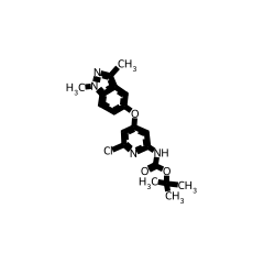 Cc1nn(C)c2ccc(Oc3cc(Cl)nc(NC(=O)OC(C)(C)C)c3)cc12